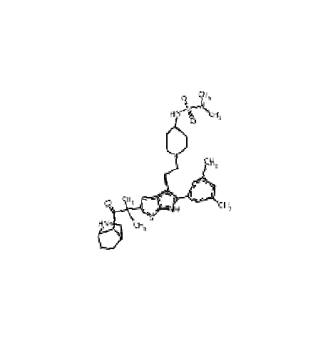 Cc1cc(C)cc(-c2[nH]c3sc(C(C)(C)C(=O)C4C5CCC4NC5)cc3c2CCN2CCC(NS(=O)(=O)N(C)C)CC2)c1